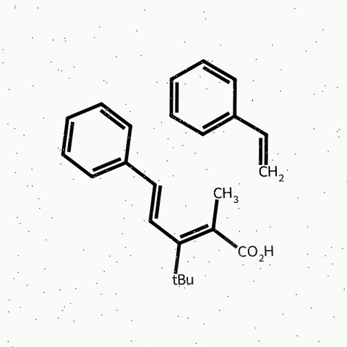 C=Cc1ccccc1.CC(C(=O)O)=C(C=Cc1ccccc1)C(C)(C)C